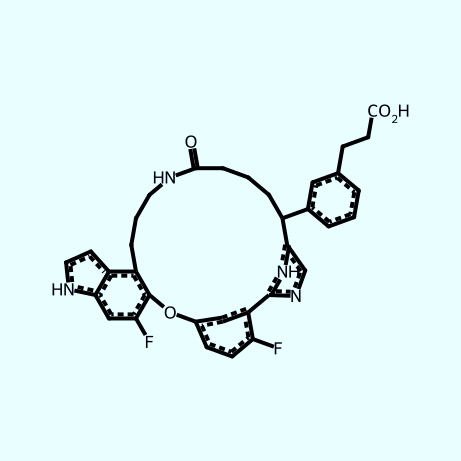 O=C(O)CCc1cccc(C2CCCC(=O)NCCCc3c(c(F)cc4[nH]ccc34)Oc3ccc(F)c(c3)-c3ncc2[nH]3)c1